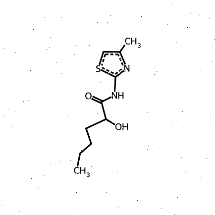 CCCCC(O)C(=O)Nc1nc(C)cs1